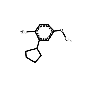 CC(C)(C)c1ccc(OC(F)(F)F)cc1C1CCCC1